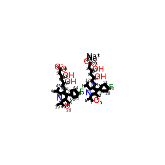 COCc1c(C(C)C)nc(C(C)C)c(/C=C/[C@@H](O)C[C@@H](O)CC(=O)[O-])c1-c1ccc(F)cc1.COCc1c(C(C)C)nc(C(C)C)c(/C=C/[C@@H](O)C[C@@H](O)CC(=O)[O-])c1-c1ccc(F)cc1.[Na+].[Na+]